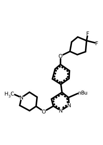 CCCCc1nnc(OC2CCN(C)CC2)cc1-c1ccc(OC2CCC(F)(F)CC2)cc1